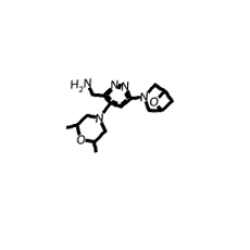 CC1CN(c2cc(N3CC4CC(C3)O4)nnc2CN)CC(C)O1